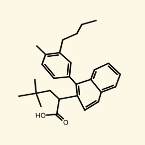 CCCCc1cc(-c2c(C(CC(C)(C)C)C(=O)O)ccc3ccccc23)ccc1C